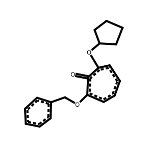 O=c1c(OCc2ccccc2)ccccc1OC1CCCC1